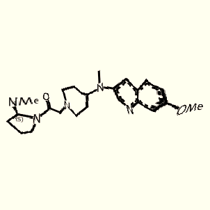 CN[C@@H]1CCCN1C(=O)CN1CCC(N(C)c2cnc3cc(OC)ccc3c2)CC1